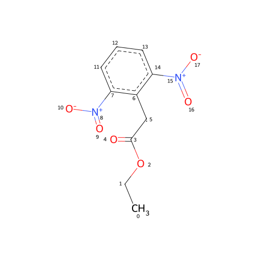 CCOC(=O)[CH]c1c([N+](=O)[O-])cccc1[N+](=O)[O-]